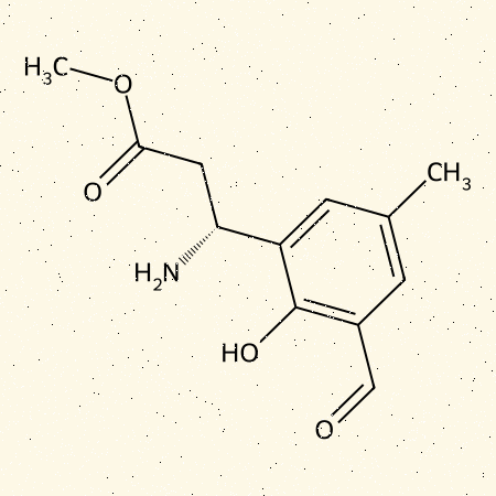 COC(=O)C[C@@H](N)c1cc(C)cc(C=O)c1O